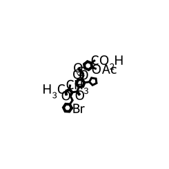 CC(=O)Oc1cc(S(=O)(=O)Oc2ccc(C(=O)c3c(Cc4ccccc4Br)oc(C)c3C)cc2C2CCCC2)ccc1C(=O)O